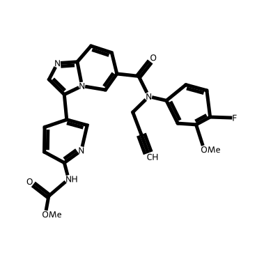 C#CCN(C(=O)c1ccc2ncc(-c3ccc(NC(=O)OC)nc3)n2c1)c1ccc(F)c(OC)c1